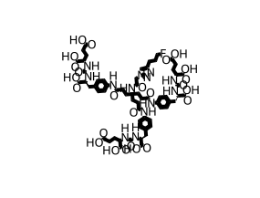 O=C(O)CCC(NC(=O)N[C@@H](Cc1ccc(NC(=O)CCC(CCC(=O)Nc2ccc(C[C@H](NC(=O)NC(CCC(=O)O)C(=O)O)C(=O)O)cc2)(CCC(=O)Nc2ccc(C[C@H](NC(=O)NC(CCC(=O)O)C(=O)O)C(=O)O)cc2)NC(=O)Cn2cc(CCCF)nn2)cc1)C(=O)O)C(=O)O